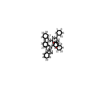 c1ccc(-c2nc(-c3ccccc3)nc(-n3c4ccccc4c4ccc5c(c43)n(-c3ccccc3)c3nc4ccccc4n53)n2)cc1